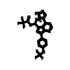 NC(OC(=O)C(F)(F)F)c1nn(-c2ccc(OC(F)(F)F)cc2)c2nccc(-c3cn[nH]c3)c12